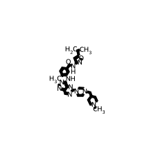 C=C(C)c1cc(NC(=O)c2ccc(C)c(Nc3ncnc4cnc(N5CCN(CC6CCN(C)CC6)CC5)nc34)c2)no1